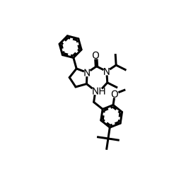 COc1ccc(C(C)(C)C)cc1CNC1CCC(c2ccccc2)N1C(=O)N(C(C)C)C(C)C